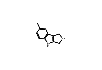 Cc1ccc2[nH]c3c(c2c1)CNC3